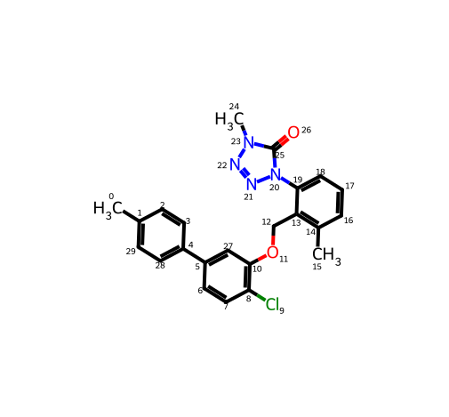 Cc1ccc(-c2ccc(Cl)c(OCc3c(C)cccc3-n3nnn(C)c3=O)c2)cc1